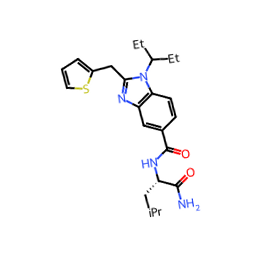 CCC(CC)n1c(Cc2cccs2)nc2cc(C(=O)N[C@@H](CC(C)C)C(N)=O)ccc21